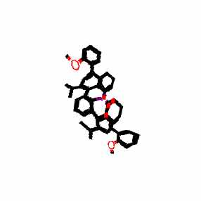 COc1ccccc1-c1cc(C(C)C)c(-c2cccc(-c3c(C(C)C)cc(-c4ccccc4OC)cc3C(C)C)c2P(C2CCCCC2)C2CCCCC2)c(C(C)C)c1